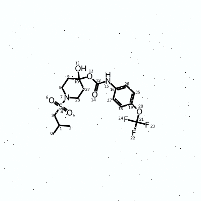 CC(C)CS(=O)(=O)N1CCC(O)(OC(=O)Nc2ccc(OC(F)(F)F)cc2)CC1